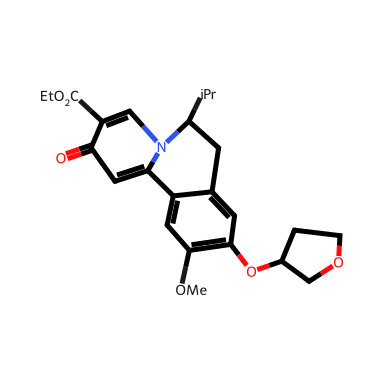 CCOC(=O)c1cn2c(cc1=O)-c1cc(OC)c(OC3CCOC3)cc1CC2C(C)C